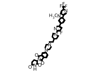 Cn1c2cc(-c3cnc(N4CCC(CCN5CCN(c6ccc7c(c6)C(=O)N(C6CCC(=O)NC6=O)C7=O)CC5)CC4)c(F)c3)ccc2c2cnc(C(F)(F)F)cc21